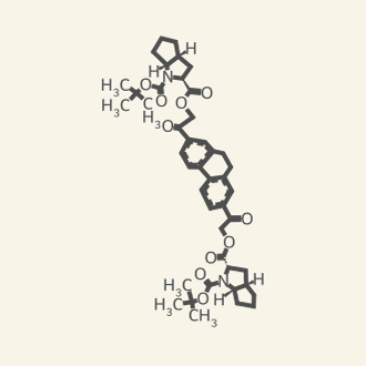 CC(C)(C)OC(=O)N1[C@@H]2CCC[C@@H]2C[C@H]1C(=O)OCC(=O)c1ccc2c(c1)CCc1cc(C(=O)COC(=O)[C@@H]3C[C@@H]4CCC[C@@H]4N3C(=O)OC(C)(C)C)ccc1-2